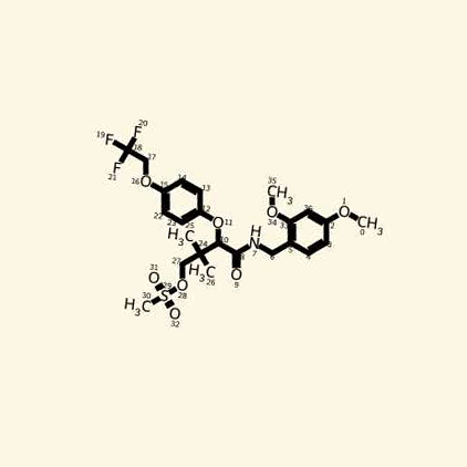 COc1ccc(CNC(=O)C(Oc2ccc(OCC(F)(F)F)cc2)C(C)(C)COS(C)(=O)=O)c(OC)c1